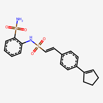 NS(=O)(=O)c1ccccc1NS(=O)(=O)/C=C/c1ccc(C2=CCCC2)cc1